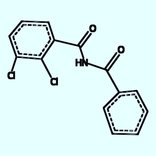 O=C(NC(=O)c1cccc(Cl)c1Cl)c1ccccc1